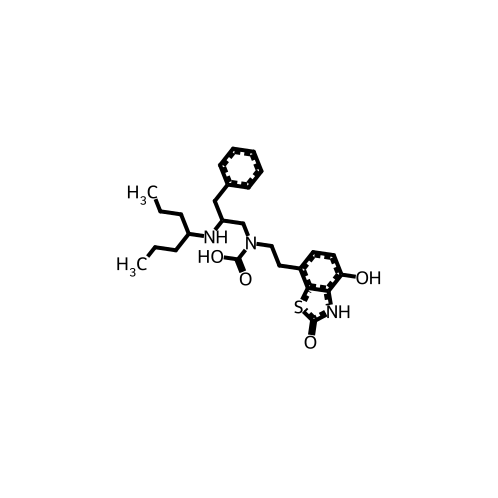 CCCC(CCC)NC(Cc1ccccc1)CN(CCc1ccc(O)c2[nH]c(=O)sc12)C(=O)O